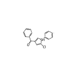 O=C(C1=C[SH](c2cc[c]cc2)C(Cl)=C1)c1ccccc1